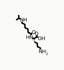 CC(C)NCCCCCC(=O)N[C@@H](CCCCN)C(=O)O